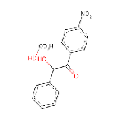 O=C(O)O.O=C(c1ccc([N+](=O)[O-])cc1)C(O)c1ccccc1